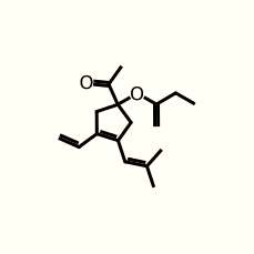 C=CC1=C(C=C(C)C)CC(OC(=C)CC)(C(C)=O)C1